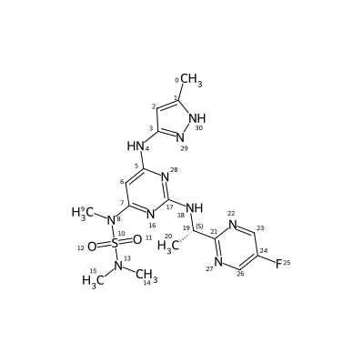 Cc1cc(Nc2cc(N(C)S(=O)(=O)N(C)C)nc(N[C@@H](C)c3ncc(F)cn3)n2)n[nH]1